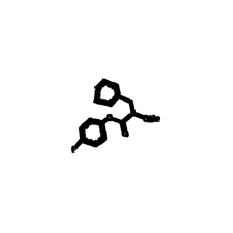 CON(Cc1cc[c]cc1)C(=O)Oc1ccc(F)cc1